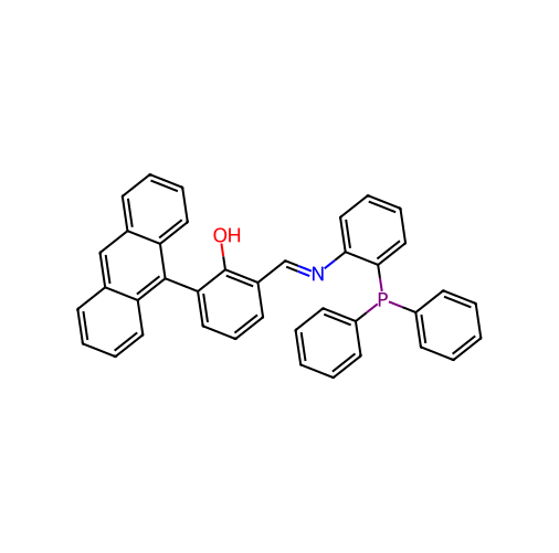 Oc1c(/C=N/c2ccccc2P(c2ccccc2)c2ccccc2)cccc1-c1c2ccccc2cc2ccccc12